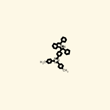 Cc1ccc(-c2nc(-c3ccc(C)cc3)nc(-c3ccc(-c4c(-c5ccccc5)nn5c(-c6ccccc6)cc6ccccc6c45)cc3)n2)cc1